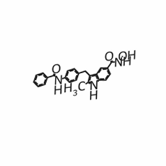 Cc1[nH]c2ccc(C(=O)NO)cc2c1Cc1ccc(NC(=O)c2ccccc2)cc1